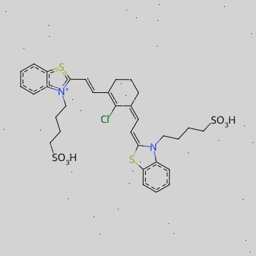 O=S(=O)(O)CCCCN1C(=CC=C2CCCC(C=Cc3sc4ccccc4[n+]3CCCCS(=O)(=O)O)=C2Cl)Sc2ccccc21